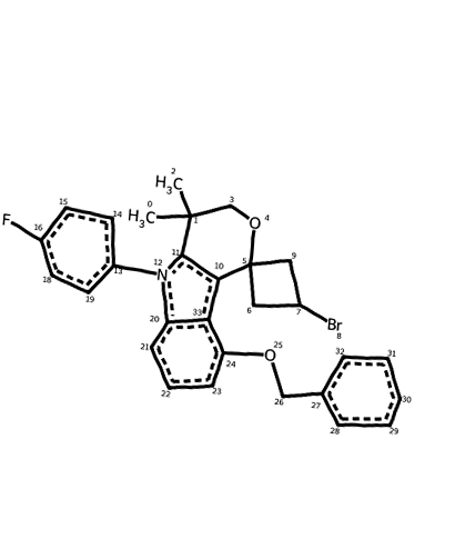 CC1(C)COC2(CC(Br)C2)c2c1n(-c1ccc(F)cc1)c1cccc(OCc3ccccc3)c21